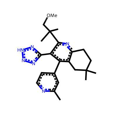 COCC(C)(C)c1nc2c(c(-c3ccnc(C)c3)c1-c1nn[nH]n1)CC(C)(C)CC2